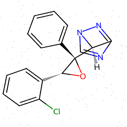 Clc1ccccc1[C@H]1O[C@@]1(c1ccccc1)[C@@H]1c2ncn1n2